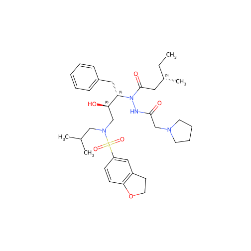 CC[C@H](C)CC(=O)N(NC(=O)CN1CCCC1)[C@@H](Cc1ccccc1)[C@H](O)CN(CC(C)C)S(=O)(=O)c1ccc2c(c1)CCO2